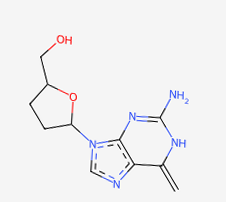 C=C1NC(N)=Nc2c1ncn2C1CCC(CO)O1